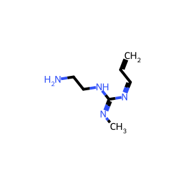 C=C/C=N\C(=N/C)NCCN